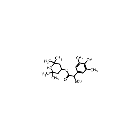 CCCCC(C(=O)OC1CC(C)(C)NC(C)(C)C1)c1cc(C)c(O)c(C)c1